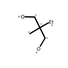 CCC(C)(C[O])C[O]